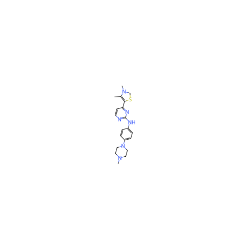 CC1=C(c2ccnc(Nc3ccc(N4CCN(C)CC4)cc3)n2)SCN1C